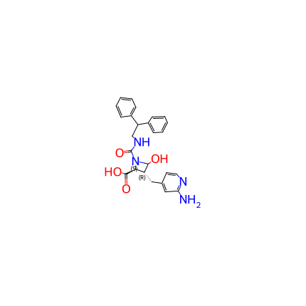 Nc1cc(C[C@H]2C(O)N(C(=O)NCC(c3ccccc3)c3ccccc3)[C@@H]2C(=O)O)ccn1